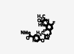 CNC(=O)c1ccc(O[C@H]2CN(Cc3cc(F)c4nc(C)c(=O)[nH]c4c3F)[C@@H]2C)cn1